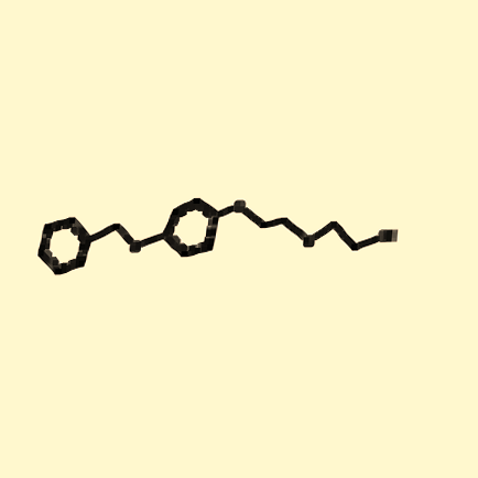 OCCOCCOc1ccc(OCc2ccccc2)cc1